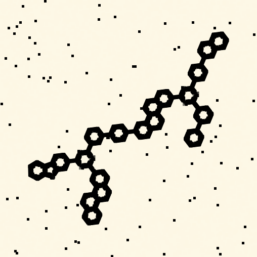 c1ccc(-c2cccc(-c3nc(-c4ccc(-c5ccc6ccccc6c5)cc4)nc(-c4ccc5ccc6c7cc(-c8ccc(-c9cccc(-c%10nc(-c%11ccc%12c(c%11)oc%11ccccc%11%12)nc(-c%11ccc%12ccc%13c%14ccccc%14ccc%13c%12c%11)n%10)c9)cc8)ccc7ccc6c5c4)n3)c2)cc1